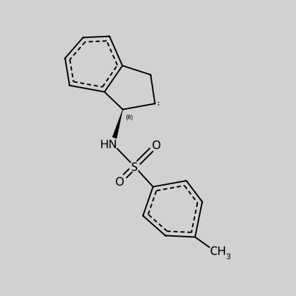 Cc1ccc(S(=O)(=O)N[C@@H]2[C]Cc3ccccc32)cc1